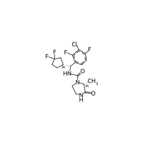 C[C@@H]1C(=O)NCCN1C(=O)NC(c1ccc(F)c(Cl)c1F)[C@@H]1CCC(F)(F)C1